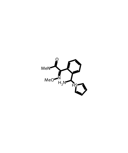 CNC(=O)C(=NOC)c1ccccc1C(N)[SH]1C=CC=C1